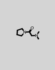 CN(C)CC(=O)N1CCCC1